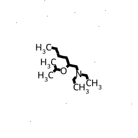 CCCCC(CN(CC)CC)OC(C)C